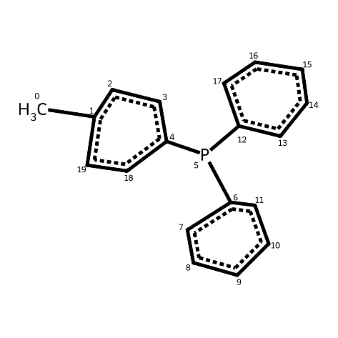 Cc1ccc(P(c2ccccc2)c2ccccc2)cc1